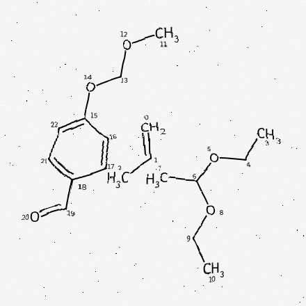 C=CC.CCOC(C)OCC.COCOc1ccc(C=O)cc1